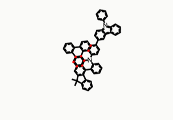 CC1(C)c2ccccc2-c2c(-c3ccccc3N(c3ccc(-c4ccc5c(c4)c4ccccc4n5-c4ccccc4)cc3)c3ccccc3-c3ccccc3-c3ccccc3-c3ccccc3)cccc21